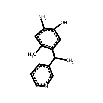 [CH2]C(c1cccnc1)c1cc(O)c(N)cc1C